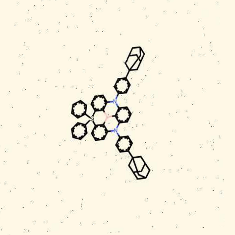 c1ccc([Si]2(c3ccccc3)c3cccc4c3B3c5c(cccc5N(c5ccc(C67CC8CC(CC(C8)C6)C7)cc5)c5cccc2c53)N4c2ccc(C34CC5CC(CC(C5)C3)C4)cc2)cc1